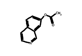 CC(=O)Oc1ccc2ccncc2c1